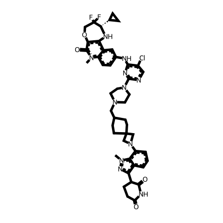 Cn1nc(C2CCC(=O)NC2=O)c2cccc(N3CC4(CCC(CN5CCN(c6ncc(Cl)c(Nc7ccc8c(c7)c7c(c(=O)n8C)OCC(F)(F)[C@H](C8CC8)N7)n6)CC5)CC4)C3)c21